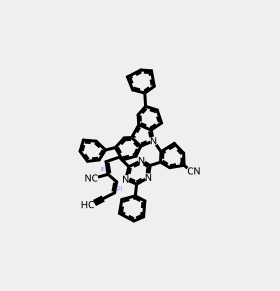 C#C/C=C\C(C#N)=C/Cc1nc(-c2ccccc2)nc(-c2cc(C#N)ccc2-n2c3ccc(-c4ccccc4)cc3c3cc(-c4ccccc4)ccc32)n1